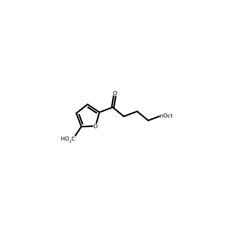 CCCCCCCCCCCC(=O)c1ccc(C(=O)O)o1